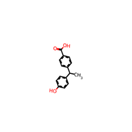 CC(c1ccc(O)cc1)c1ccc(C(=O)O)cc1